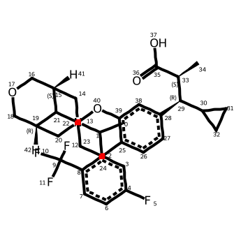 CC(c1cc(F)ccc1C(F)(F)F)N1C[C@H]2COC[C@@H](C1)C2C1CCc2ccc([C@H](C3CC3)[C@H](C)C(=O)O)cc2O1